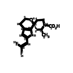 C[C@H]1C[C@@]2(CCN1C(=O)O)OCCc1cc(C=C(F)F)sc12